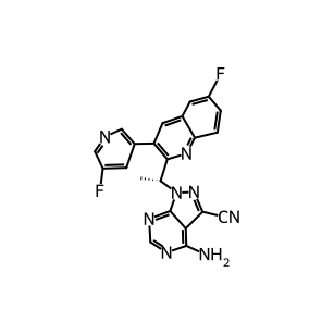 C[C@H](c1nc2ccc(F)cc2cc1-c1cncc(F)c1)n1nc(C#N)c2c(N)ncnc21